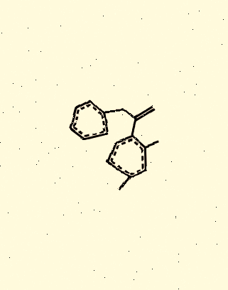 C=C(Cc1ccccc1)c1ccc(C)cc1C